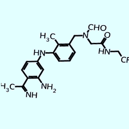 CC(=N)c1ccc(Nc2cccc(CN(C=O)CC(=O)NCC(F)(F)F)c2C)cc1N